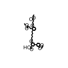 CCOC(=O)CCCOc1cccc(CCCCCCOc2cc(C(=O)O)cc(-c3ccc4c(c3)OCCO4)c2)c1CCC(=O)OCC